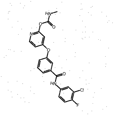 CNC(=O)Oc1cc(Oc2cccc(C(=O)Nc3ccc(F)c(Cl)c3)c2)ccn1